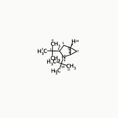 CC(C)(C)C1C[C@@H]2CC2N1C(C)(C)C